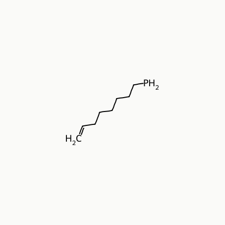 C=CCCCCCCP